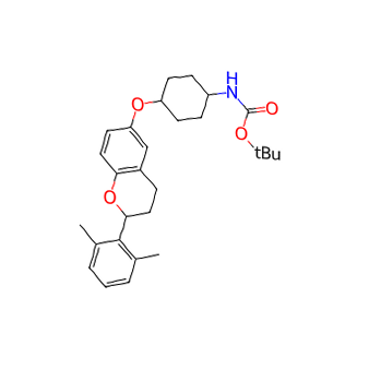 Cc1cccc(C)c1C1CCc2cc(OC3CCC(NC(=O)OC(C)(C)C)CC3)ccc2O1